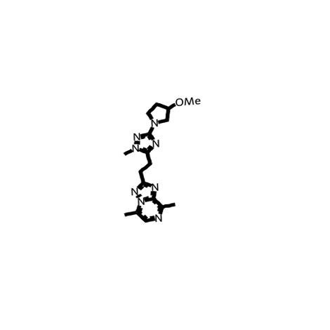 COC1CCN(c2nc(CCc3nc4c(C)ncc(C)n4n3)n(C)n2)C1